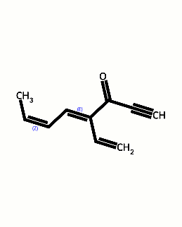 C#CC(=O)/C(C=C)=C/C=C\C